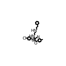 Cc1ccc(C(=O)c2nn(-c3ccc(Cl)cc3)c(NCCCNCCCc3ccccc3)c2C#N)cc1